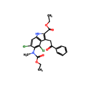 CCOC(=O)c1[nH]c2cc(Cl)c(N(C)C(=O)OCC)c(Cl)c2c1CC(=O)c1ccccc1